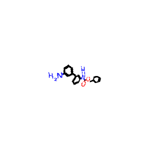 Nc1cccc(-c2cccc(NC(=O)OCc3ccccc3)c2)c1